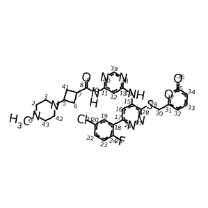 CN1CCN(C2CC(C(=O)Nc3cc(Nc4cc(-c5cc(Cl)ccc5F)nnc4SCc4cccc(=O)o4)ncn3)C2)CC1